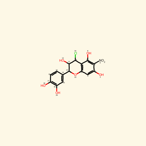 O=[N+]([O-])c1c(O)cc2c(c1O)C(Cl)C(O)C(c1ccc(O)c(O)c1)O2